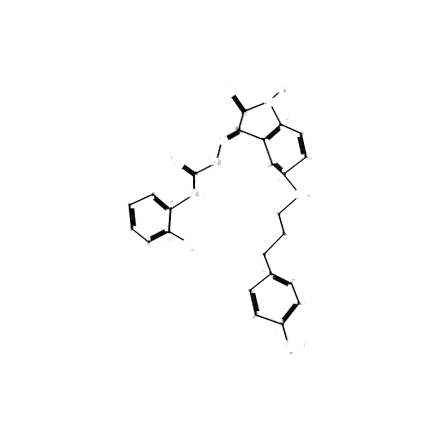 CCCN1C(=O)/C(=N/NC(=O)Nc2ccccc2Cl)c2cc(SCCCc3ccc(C(=O)O)cc3)ccc21